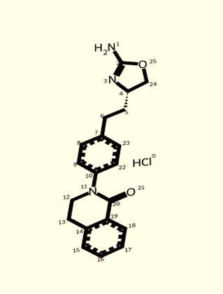 Cl.NC1=N[C@@H](CCc2ccc(N3CCc4ccccc4C3=O)cc2)CO1